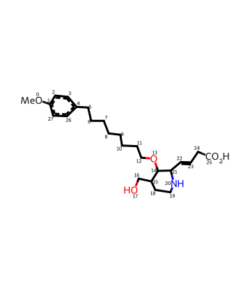 COc1ccc(CCCCCCCCOC2C(CO)CCNC2/C=C/CC(=O)O)cc1